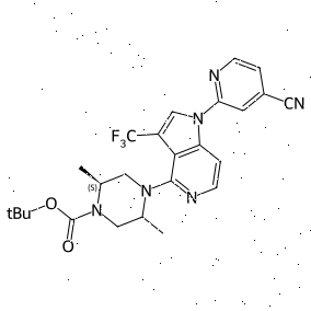 CC1CN(C(=O)OC(C)(C)C)[C@@H](C)CN1c1nccc2c1c(C(F)(F)F)cn2-c1cc(C#N)ccn1